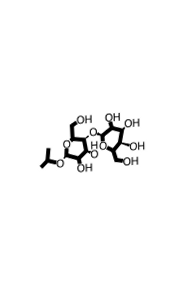 CC(C)O[C@@H]1OC(CO)[C@H](O[C@@H]2OC(CO)[C@H](O)[C@@H](O)C2O)[C@@H](O)C1O